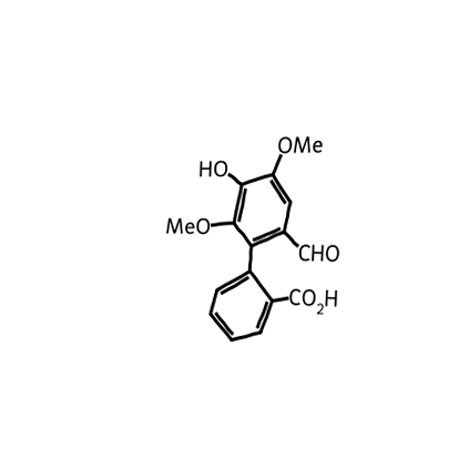 COc1cc(C=O)c(-c2ccccc2C(=O)O)c(OC)c1O